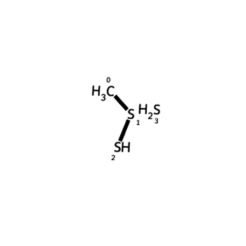 CSS.S